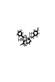 Cc1nc2ccc(NCc3ccc(F)cc3)nn2c1NC(=O)c1ccccc1